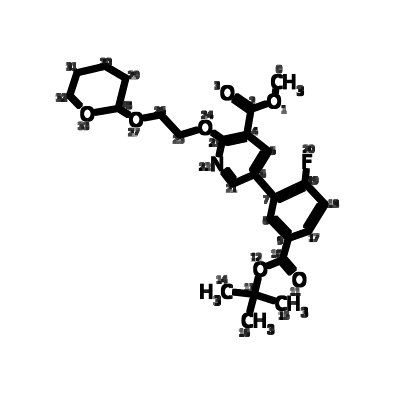 COC(=O)c1cc(-c2cc(C(=O)OC(C)(C)C)ccc2F)cnc1OCCOC1CCCCO1